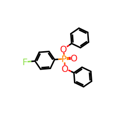 O=P(Oc1ccccc1)(Oc1ccccc1)c1ccc(F)cc1